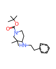 CC(C)(C)OC(=O)N1CCC(NCCc2ccccc2)C(C)(C)C1